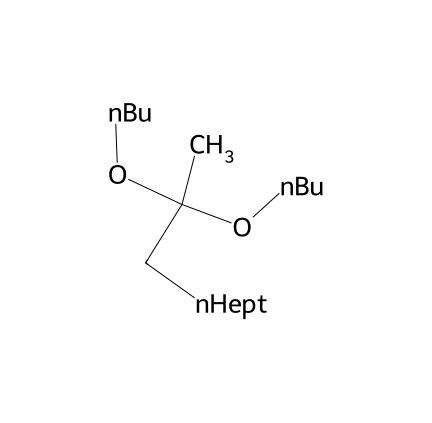 CCCCCCCCC(C)(OCCCC)OCCCC